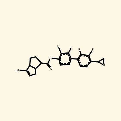 CCCC1=CCC2C(C(=O)Oc3ccc(-c4ccc(C5CO5)c(F)c4F)c(F)c3F)CCC12